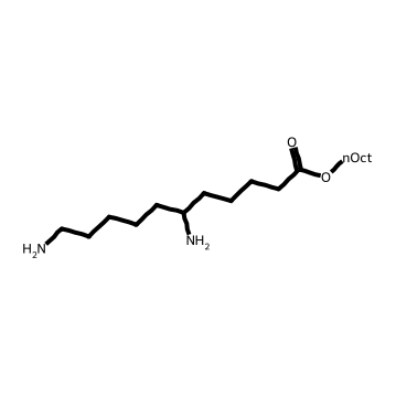 CCCCCCCCOC(=O)CCCCC(N)CCCCCN